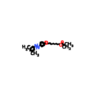 C=C(C)C(=O)OCCCCCCCCOc1ccc(N=Nc2cc(C)cc(C)c2)cc1